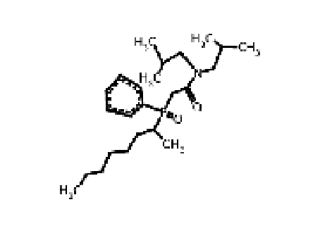 CCCCCCC(C)P(=O)(CC(=O)N(CC(C)C)CC(C)C)c1ccccc1